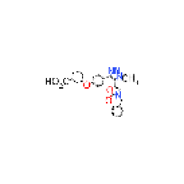 Cn1nnc(-c2ccc(OC3CCC[C@H](C(=O)O)C3)cc2)c1-c1cn(Cc2ccccc2)c(=O)o1